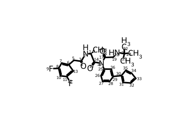 C[C@H](NC(=O)Cc1cc(F)cc(F)c1)C(=O)N(C(=O)CNC(C)(C)C)c1cccc(-c2ccccc2)c1